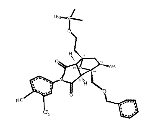 CC(C)(C)[Si](C)(C)OCC[C@@]12C[C@@H](O)[C@@](COCc3ccccc3)(O1)[C@H]1C(=O)N(c3ccc(C#N)c(C(F)(F)F)c3)C(=O)[C@H]12